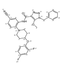 COc1c(C(=O)Nc2cc(C#N)ccc2N2CCC(Oc3ccc(F)cc3F)CC2)nnn1Cc1ccccc1